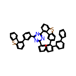 c1ccc(-c2cccc(-c3ccccc3-c3ccc4sc5cccc(-c6nc(-c7ccccc7)nc(-c7cccc(-c8cccc9sc%10ccccc%10c89)c7)n6)c5c4c3)c2)cc1